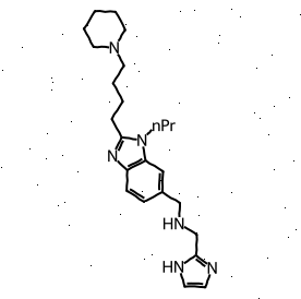 CCCn1c(CCCCN2CCCCC2)nc2ccc(CNCc3ncc[nH]3)cc21